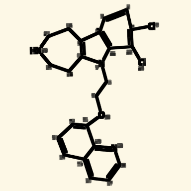 Clc1ccc2c3c(n(CCOc4cccc5cccnc45)c2c1Cl)CCNCC3